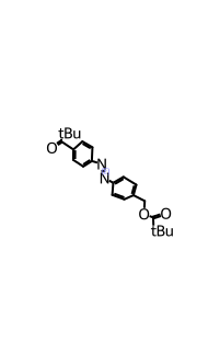 CC(C)(C)C(=O)OCc1ccc(/N=N/c2ccc(C(=O)C(C)(C)C)cc2)cc1